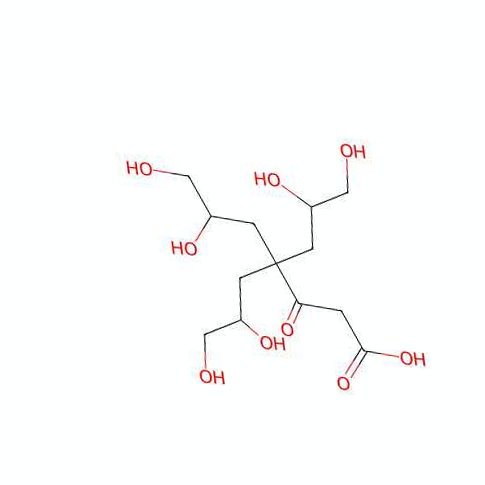 O=C(O)CC(=O)C(CC(O)CO)(CC(O)CO)CC(O)CO